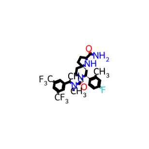 Cc1cc(F)ccc1[C@H]1C[C@@]2(CCC(C(N)=O)N2)CCN1C(=O)N(C)[C@H](C)c1cc(C(F)(F)F)cc(C(F)(F)F)c1